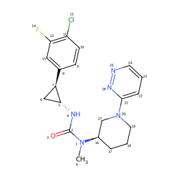 CN(C(=O)N[C@@H]1C[C@H]1c1ccc(Cl)c(F)c1)[C@@H]1CCCN(c2cccnn2)C1